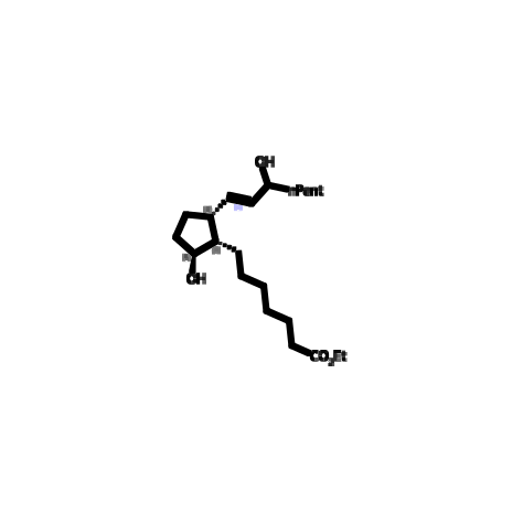 CCCCCC(O)/C=C/[C@H]1CC[C@H](O)[C@H]1CCCCCCC(=O)OCC